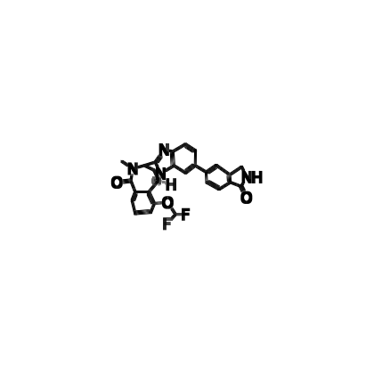 CN1C(=O)c2cccc(OC(F)F)c2[C@H]2CC1c1nc3ccc(-c4ccc5c(c4)CNC5=O)cc3n12